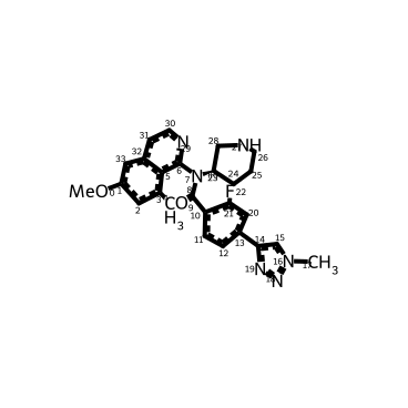 COc1cc(C)c2c(N(C(=O)c3ccc(-c4cn(C)nn4)cc3F)[C@@H]3CCCNC3)nccc2c1